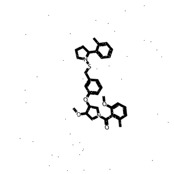 COc1cccc(C)c1C(=O)N1CC(OC)C(Oc2cccc(CSN3CCCC3c3ccccc3C)c2)C1